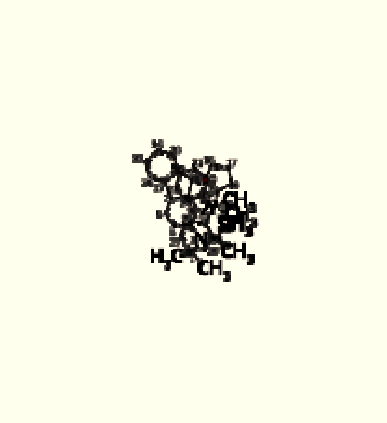 CC(C)N(c1ccc2c([c]1[Zr]([CH3])([CH3])(=[SiH2])([C]1=CC=CC1)([c]1ccccc1)[c]1ccccc1)Cc1ccccc1-2)C(C)C